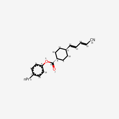 CCCc1ccc(OC(=O)[C@H]2CC[C@H](C=CC=CC#N)CC2)cc1